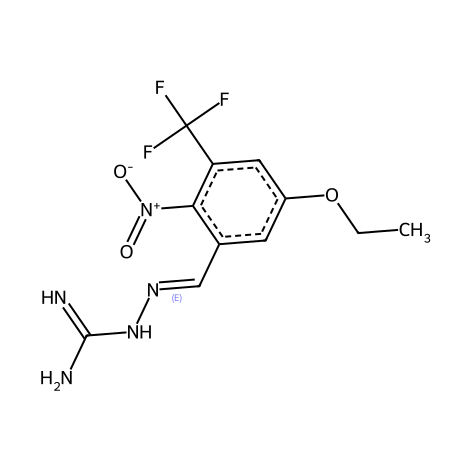 CCOc1cc(/C=N/NC(=N)N)c([N+](=O)[O-])c(C(F)(F)F)c1